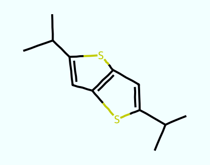 CC(C)c1cc2sc(C(C)C)cc2s1